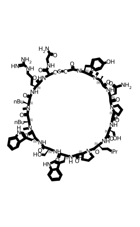 CCCC[C@H]1C(=O)N(C)[C@@H](CCCC)C(=O)N[C@@H](CCCNC(=N)N)C(=O)NC(C(=O)NCC(N)=O)CSCC(=O)N[C@@H](Cc2ccc(O)cc2)C(=O)N(C)[C@@H](C)C(=O)N[C@@H](CC(N)=O)C(=O)N2CCC[C@H]2C(=O)N[C@@H](CO)C(=O)N[C@@H](CCC(C)C)C(=O)N2CCC[C@H]2C(=O)N[C@@H](Cc2c[nH]c3ccccc23)C(=O)N[C@@H](CO)C(=O)N[C@@H](Cc2c[nH]c3ccccc23)C(=O)N1C